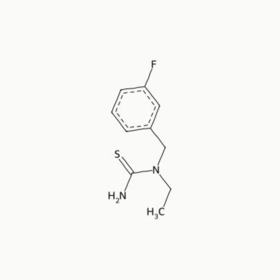 CCN(Cc1cccc(F)c1)C(N)=S